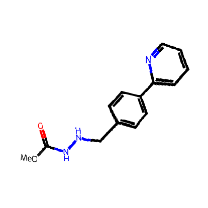 COC(=O)NNCc1ccc(-c2ccccn2)cc1